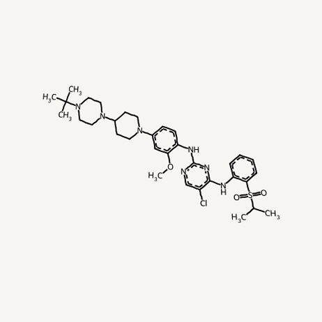 COc1cc(N2CCC(N3CCN(C(C)(C)C)CC3)CC2)ccc1Nc1ncc(Cl)c(Nc2ccccc2S(=O)(=O)C(C)C)n1